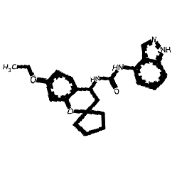 CCOc1ccc2c(c1)OC1(CCCC1)CC2NC(=O)Nc1cccc2[nH]ncc12